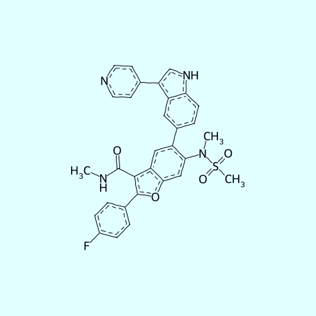 CNC(=O)c1c(-c2ccc(F)cc2)oc2cc(N(C)S(C)(=O)=O)c(-c3ccc4[nH]cc(-c5ccncc5)c4c3)cc12